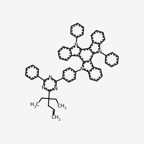 C=CCC(CC)(CC)c1nc(-c2ccccc2)nc(-c2ccc(-n3c4ccccc4c4c5c(c6ccccc6n5-c5ccccc5)c5c(c6ccccc6n5-c5ccccc5)c43)cc2)n1